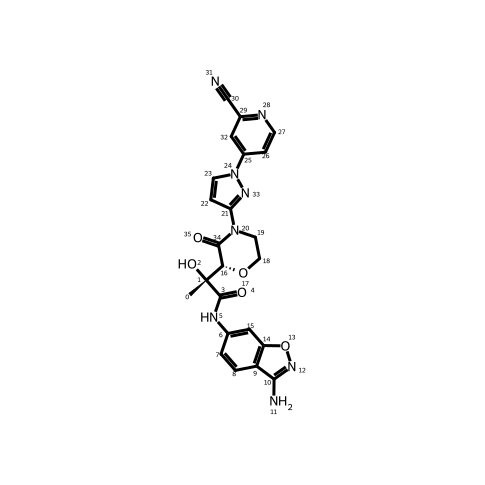 C[C@](O)(C(=O)Nc1ccc2c(N)noc2c1)[C@H]1OCCN(c2ccn(-c3ccnc(C#N)c3)n2)C1=O